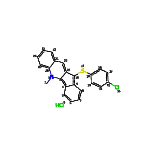 Cl.Cn1c2c3ccccc3c(Sc3ccc(Cl)cc3)c-2cc2ccccc21